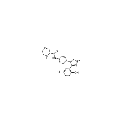 Cn1cc(-c2ccc(NC(=O)[C@@H]3COCCN3)cc2)c(-c2cc(Cl)ccc2O)n1